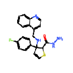 NNC(=O)C1SC=CC1(NCc1ccnc2ccccc12)c1ccc(F)cc1